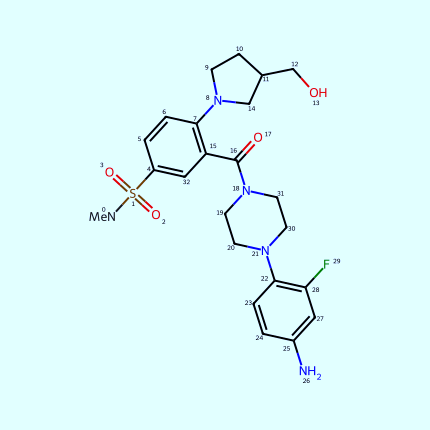 CNS(=O)(=O)c1ccc(N2CCC(CO)C2)c(C(=O)N2CCN(c3ccc(N)cc3F)CC2)c1